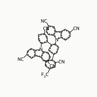 N#Cc1ccc(-n2c3ccc(C#N)cc3c3cc(C#N)ccc32)c(-c2cc(-c3ccc(C(F)(F)F)cc3C#N)ccc2-n2c3ccc(C#N)cc3c3cc(C#N)ccc32)c1